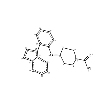 CC(C)C(=O)N1CCC(Oc2ccccc2-c2ccc3occcc2-3)CC1